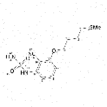 CSCCCCOc1cccc(NS(N)(=O)=O)c1C#N